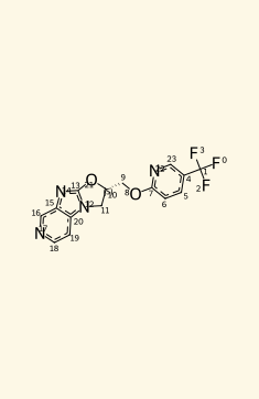 FC(F)(F)c1ccc(OC[C@@H]2Cn3c(nc4cnccc43)O2)nc1